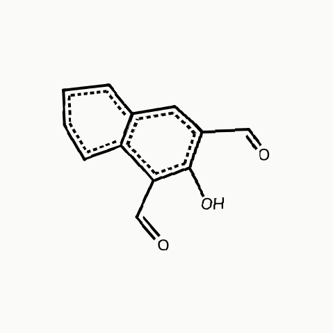 O=Cc1cc2ccccc2c(C=O)c1O